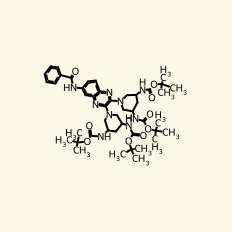 CC(C)(C)OC(=O)NC1CC(NC(=O)OC(C)(C)C)CN(c2nc3ccc(NC(=O)c4ccccc4)cc3nc2N2CC(NC(=O)OC(C)(C)C)CC(NC(=O)OC(C)(C)C)C2)C1